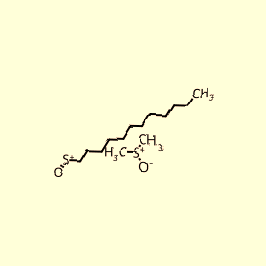 CCCCCCCCCCCC[S+]=O.C[S+](C)[O-]